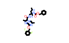 CCCC(C)(CNC(=O)c1c(C)nc2c(OCc3c(F)cccc3F)nc(C)cn12)NC(=O)OCc1ccccc1